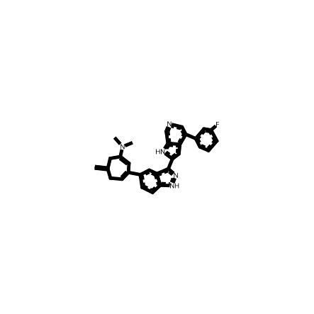 C=C1CC=C(c2ccc3[nH]nc(-c4cc5c(-c6cccc(F)c6)cncc5[nH]4)c3c2)C=C(N(C)C)C1